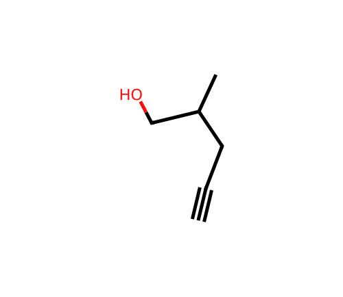 C#CCC(C)CO